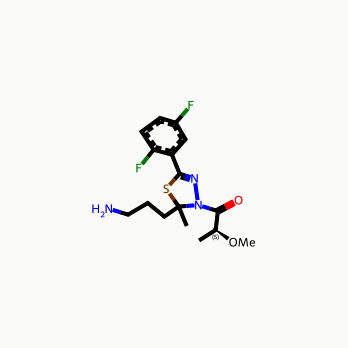 CO[C@@H](C)C(=O)N1N=C(c2cc(F)ccc2F)SC1(C)CCCN